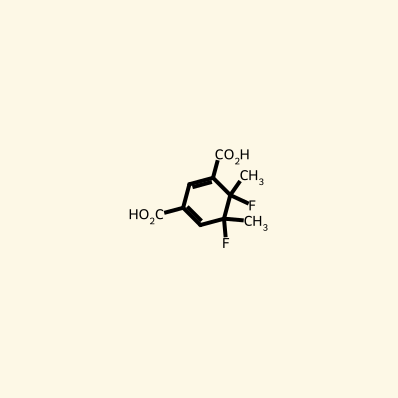 CC1(F)C=C(C(=O)O)C=C(C(=O)O)C1(C)F